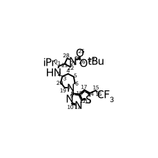 CC(C)[C@@H](N[C@@H]1CCCN(c2ncnc3sc(CC(F)(F)F)cc23)CC1)C1CN(C(=O)OC(C)(C)C)C1